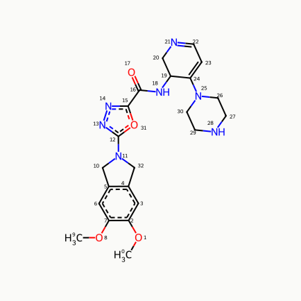 COc1cc2c(cc1OC)CN(c1nnc(C(=O)NC3CN=CC=C3N3CCNCC3)o1)C2